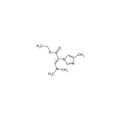 CCOC(=O)/C(=C/N(C)C)n1cnc(C)c1